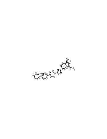 Cc1nn(C)c2cnc(-c3noc(C4CCN(C(=O)CN5Cc6ccccc6C5=O)CC4)n3)cc12